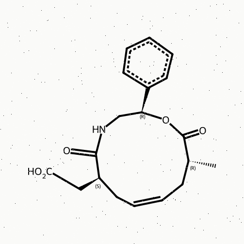 C[C@@H]1CC=CC[C@@H](CC(=O)O)C(=O)NC[C@@H](c2ccccc2)OC1=O